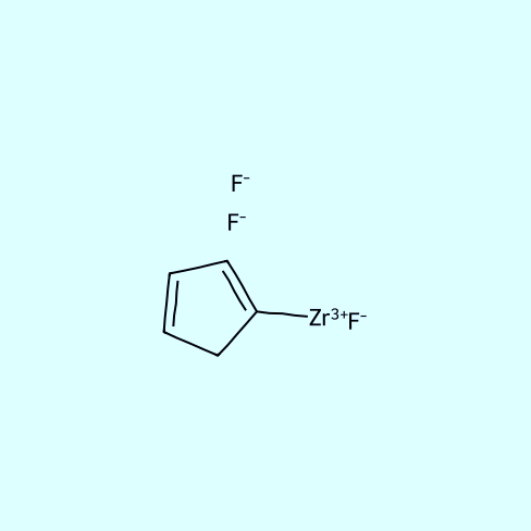 [F-].[F-].[F-].[Zr+3][C]1=CC=CC1